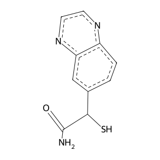 NC(=O)C(S)c1ccc2nccnc2c1